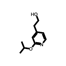 CC(C)Oc1cc(CCO)ccn1